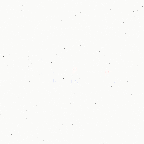 O=C(Nc1ccc(C2CNCCO2)c(F)c1)c1cnn(-c2cnc(C(F)(F)F)cn2)c1